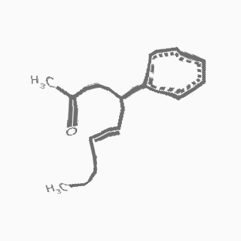 CCC=CC(CC(C)=O)c1ccccc1